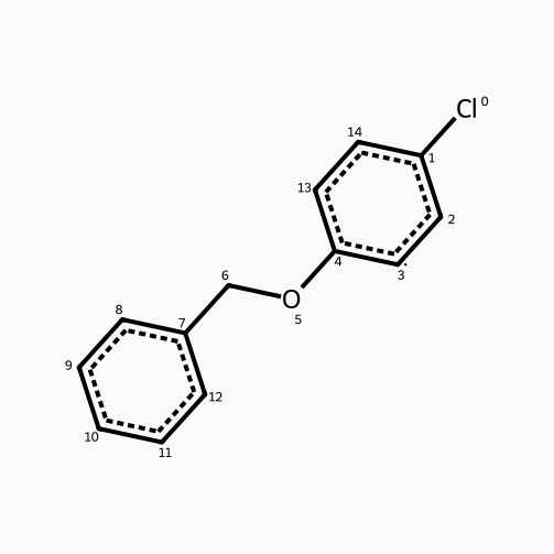 Clc1c[c]c(OCc2ccccc2)cc1